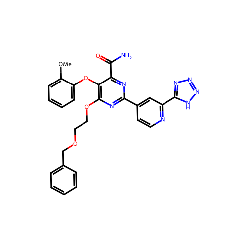 COc1ccccc1Oc1c(OCCOCc2ccccc2)nc(-c2ccnc(-c3nnn[nH]3)c2)nc1C(N)=O